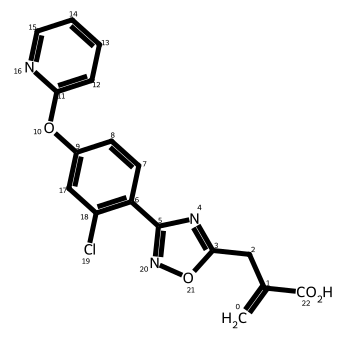 C=C(Cc1nc(-c2ccc(Oc3ccccn3)cc2Cl)no1)C(=O)O